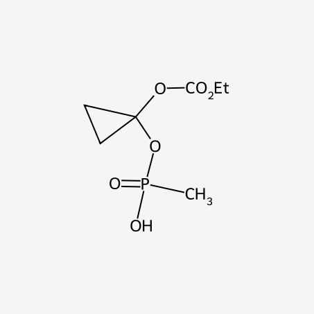 CCOC(=O)OC1(OP(C)(=O)O)CC1